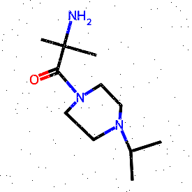 CC(C)N1CCN(C(=O)C(C)(C)N)CC1